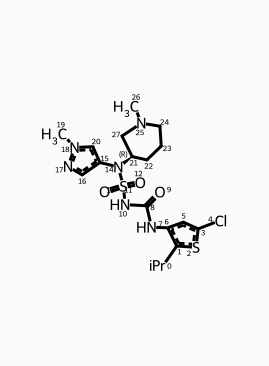 CC(C)c1sc(Cl)cc1NC(=O)NS(=O)(=O)N(c1cnn(C)c1)[C@@H]1CCCN(C)C1